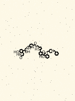 O=C(NCc1ccc(-c2cccc(C(O)(C(=O)OCC3CCN(Cc4ccccc4)CC3)c3ccccc3)c2)s1)c1ccc(CNCC(O)c2ccc(O)c3[nH]c(=O)ccc23)cn1